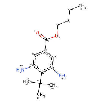 CCCCOC(=O)c1cc(N)c(C(C)(C)C)c(N)c1